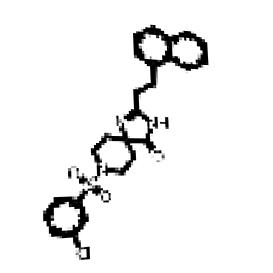 O=C1NC(CCc2cccc3ccccc23)=NC12CCN(S(=O)(=O)c1cccc(Cl)c1)CC2